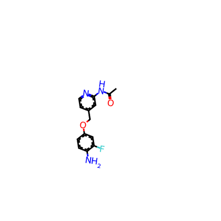 CC(=O)Nc1cc(COc2ccc(N)c(F)c2)ccn1